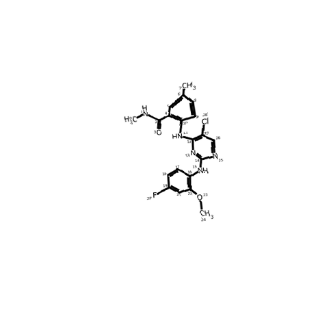 CNC(=O)c1cc(C)ccc1Nc1nc(Nc2ccc(F)cc2OC)ncc1Cl